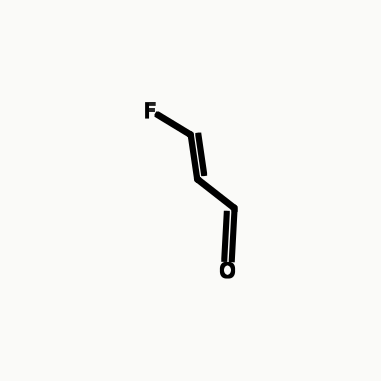 O=CC=CF